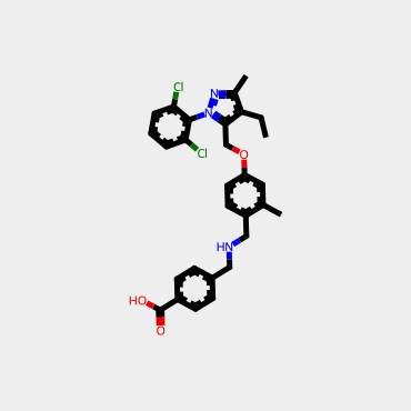 CCc1c(C)nn(-c2c(Cl)cccc2Cl)c1COc1ccc(CNCc2ccc(C(=O)O)cc2)c(C)c1